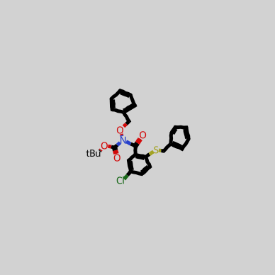 CC(C)(C)OC(=O)N(OCc1ccccc1)C(=O)c1cc(Cl)ccc1SCc1ccccc1